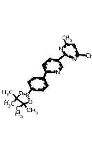 Cc1cc(C)nc(-c2ccc(-c3ccc(B4OC(C)(C)C(C)(C)O4)cc3)nc2)n1